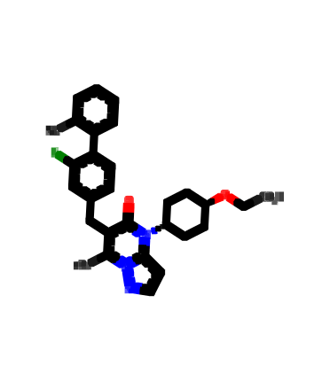 CCCCc1c(Cc2ccc(-c3ccccc3C#N)c(F)c2)c(=O)n([C@H]2CC[C@H](OCC(=O)O)CC2)c2ccnn12